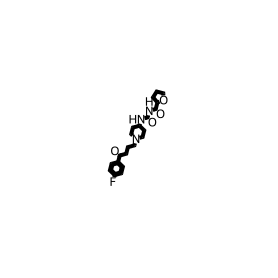 O=C(NC(=O)C1CCCO1)NC1CCN(CCCC(=O)c2ccc(F)cc2)CC1